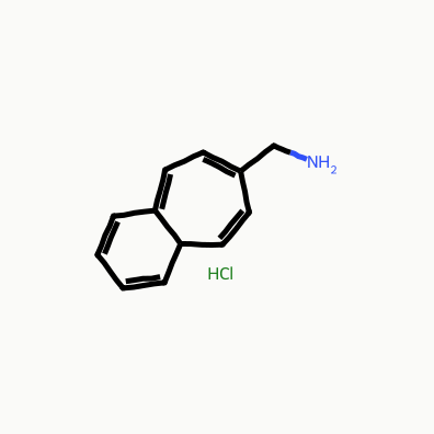 Cl.NCC1=CC=C2C=CC=CC2C=C1